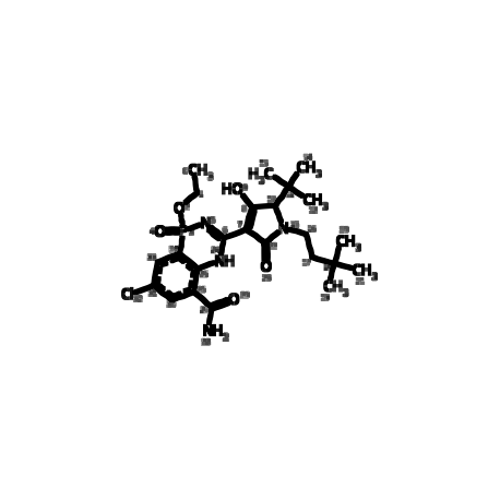 CCOP1(=O)N=C(C2=C(O)C(C(C)(C)C)N(CCC(C)(C)C)C2=O)Nc2c(C(N)=O)cc(Cl)cc21